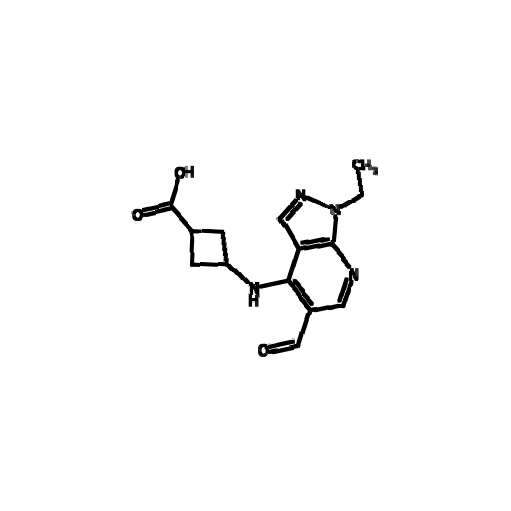 CCn1ncc2c(NC3CC(C(=O)O)C3)c(C=O)cnc21